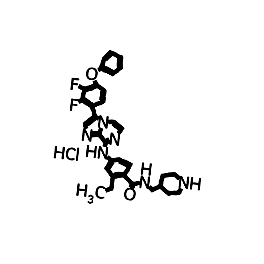 CCc1cc(Nc2nccn3c(-c4ccc(Oc5ccccc5)c(F)c4F)cnc23)ccc1C(=O)NCC1CCNCC1.Cl